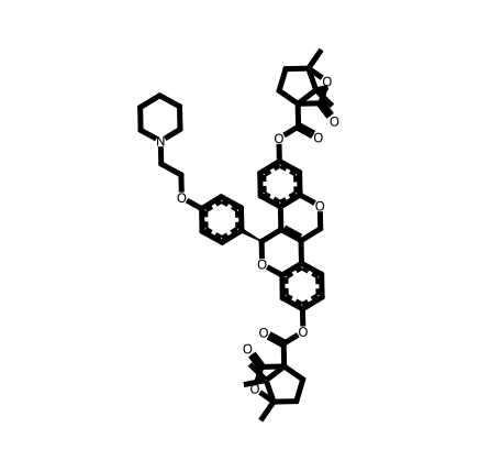 CC12CCC(C(=O)Oc3ccc4c(c3)O[C@@H](c3ccc(OCCN5CCCCC5)cc3)C3=C4COc4cc(OC(=O)C56CCC(C)(OC5=O)C6(C)C)ccc43)(C(=O)O1)C2(C)C